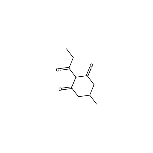 CCC(=O)C1C(=O)CC(C)CC1=O